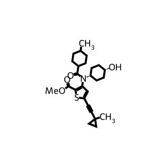 COC(=O)c1sc(C#CC2(C)CC2)cc1N(C(=O)C1CCC(C)CC1)[C@H]1CC[C@@H](O)CC1